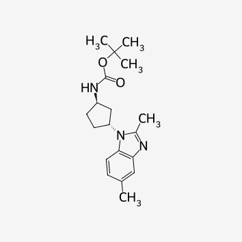 Cc1ccc2c(c1)nc(C)n2[C@@H]1CC[C@@H](NC(=O)OC(C)(C)C)C1